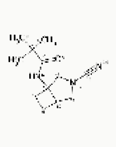 CC(C)(C)C(=O)NC12CCC1CN(C#N)C2